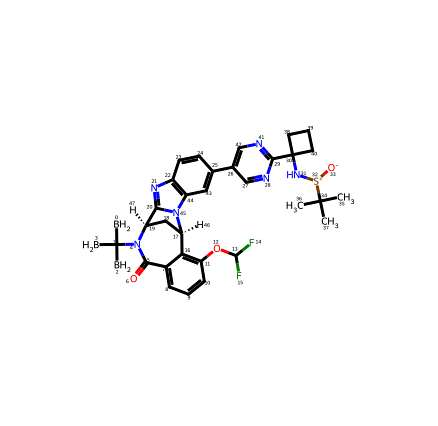 BC(B)(B)N1C(=O)c2cccc(OC(F)F)c2[C@H]2C[C@@H]1c1nc3ccc(-c4cnc(C5(N[S+]([O-])C(C)(C)C)CCC5)nc4)cc3n12